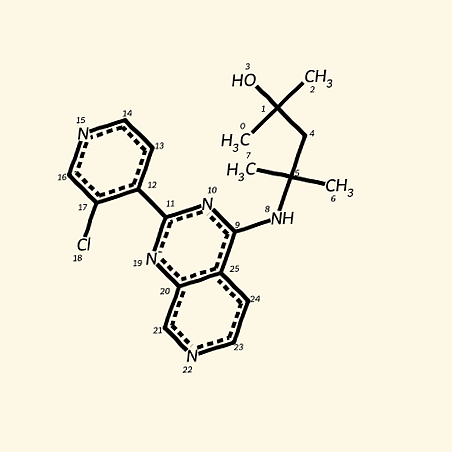 CC(C)(O)CC(C)(C)Nc1nc(-c2ccncc2Cl)nc2cnccc12